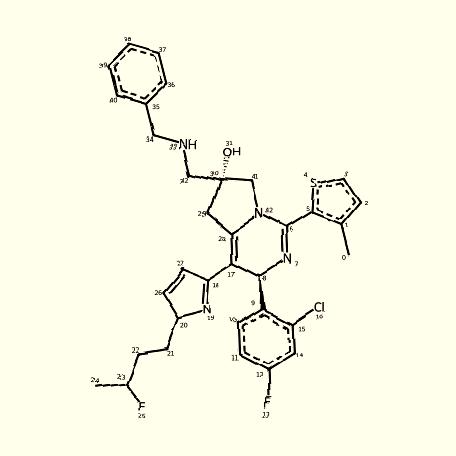 Cc1ccsc1C1=N[C@@H](c2ccc(F)cc2Cl)C(C2=NC(CCC(C)F)C=C2)=C2C[C@@](O)(CNCc3ccccc3)CN12